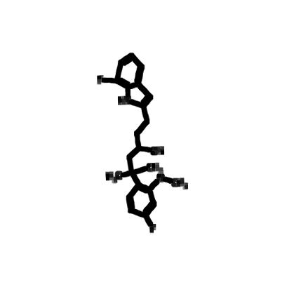 COc1cc(F)ccc1C(C)(C)CC(O)CCc1cc2cccc(F)c2[nH]1